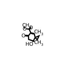 COC(=O)C1=C(C)C2(CC2)C(C)(O)CC1=O